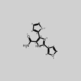 NC(=O)c1[nH]c(-c2ccoc2)nc1-c1cccs1